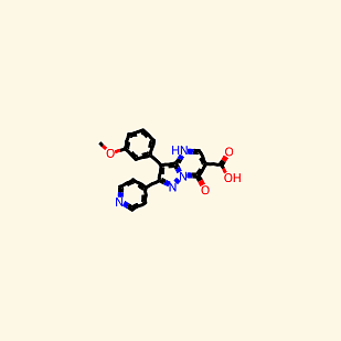 COc1cccc(-c2c(-c3ccncc3)nn3c(=O)c(C(=O)O)c[nH]c23)c1